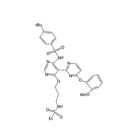 CCS(=O)(=O)NCCCOc1ncnc(NS(=O)(=O)c2ccc(C(C)(C)C)cc2)c1-c1nccc(Oc2ccccc2OC)n1